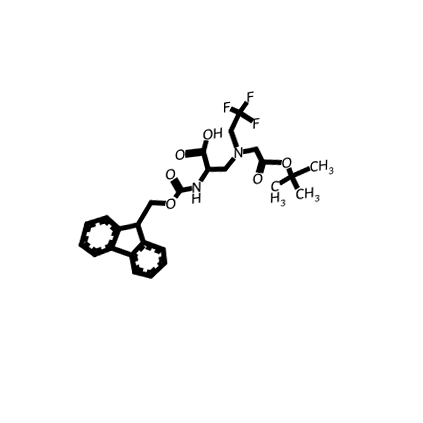 CC(C)(C)OC(=O)CN(CC(NC(=O)OCC1c2ccccc2-c2ccccc21)C(=O)O)CC(F)(F)F